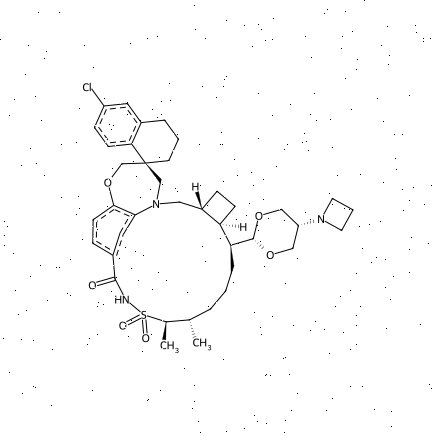 C[C@@H]1[C@@H](C)CCC[C@H]([C@H]2OC[C@@H](N3CCC3)CO2)[C@@H]2CC[C@H]2CN2C[C@@]3(CCCc4cc(Cl)ccc43)COc3ccc(cc32)C(=O)NS1(=O)=O